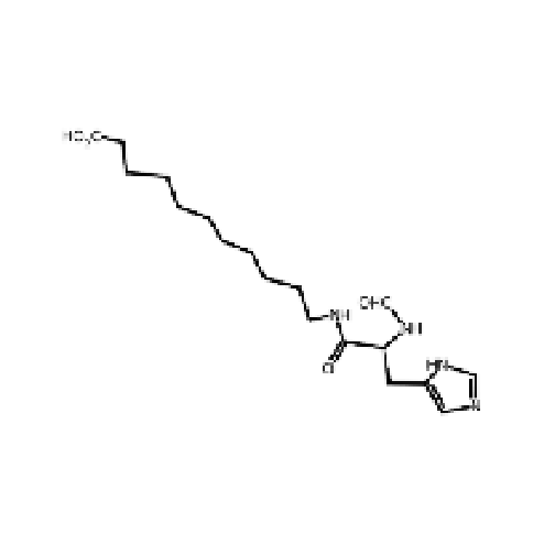 O=CN[C@@H](Cc1cnc[nH]1)C(=O)NCCCCCCCCCCC(=O)O